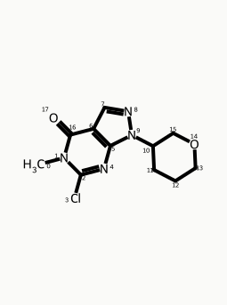 Cn1c(Cl)nc2c(cnn2C2CCCOC2)c1=O